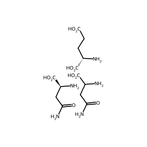 NC(=O)CC(N)C(=O)O.NC(=O)C[C@H](N)C(=O)O.N[C@@H](CCC(=O)O)C(=O)O